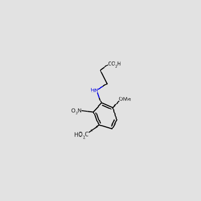 COc1ccc(C(=O)O)c([N+](=O)[O-])c1NCCC(=O)O